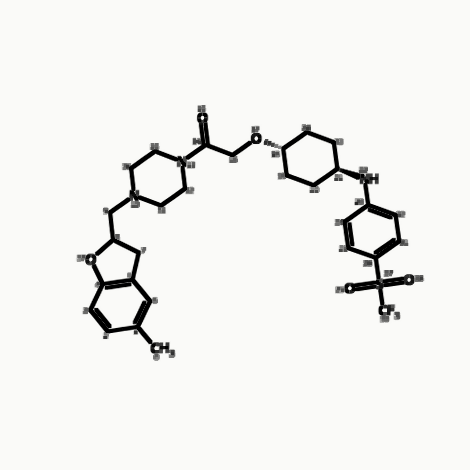 Cc1ccc2c(c1)CC(CN1CCN(C(=O)CO[C@H]3CC[C@H](Nc4ccc(S(=O)(=O)C(F)(F)F)cc4)CC3)CC1)O2